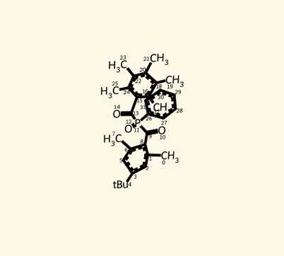 Cc1cc(C(C)(C)C)cc(C)c1C(=O)P(=O)(C(=O)c1c(C)c(C)c(C)c(C)c1C)c1ccccc1